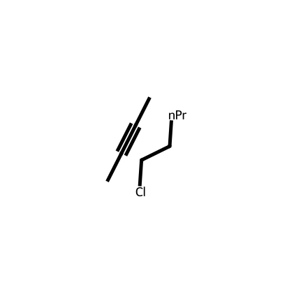 CC#CC.CCCCCCl